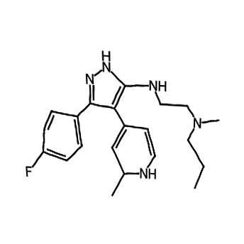 CCCN(C)CCNc1[nH]nc(-c2ccc(F)cc2)c1C1=CC(C)NC=C1